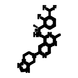 Cc1nc(N[C@H](C)c2cccc(C(F)F)c2F)c2cc(N3CCn4ncnc4C3)ncc2n1